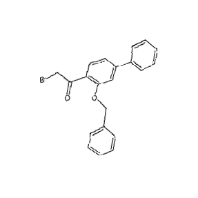 O=C(CBr)c1ccc(-c2ccccc2)cc1OCc1ccccc1